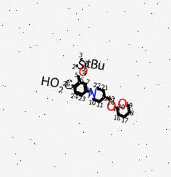 CC(C)(C)[Si](C)(C)OCc1cc(N2CCC(COC3CCCCO3)CC2)ccc1C(=O)O